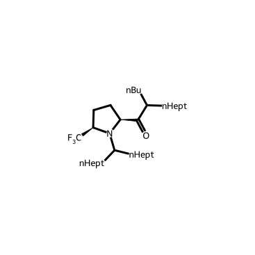 CCCCCCCC(CCCC)C(=O)[C@@H]1CC[C@H](C(F)(F)F)N1C(CCCCCCC)CCCCCCC